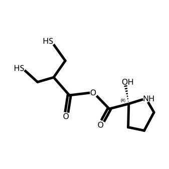 O=C(OC(=O)[C@]1(O)CCCN1)C(CS)CS